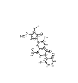 CCn1c(CO)nn(-c2cc3c(cc2F)C(=O)N(c2c(F)cccc2Cl)CN3C(C)C)c1=O